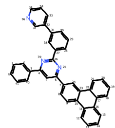 c1ccc(-c2cc(-c3ccc4c5ccccc5c5ccccc5c4c3)nc(-c3cccc(-c4cccnc4)c3)n2)cc1